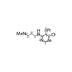 CCCc1c(Cl)ncnc1NCCCNC